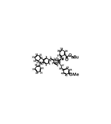 C=C/C(=C\c1ccc2c(c1)c1ccccc1n2-c1ccccc1)O/C(=N\c1ccccc1C(=O)OCCCC)NCCc1ccc(OC)cc1